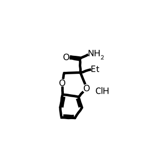 CCC1(C(N)=O)COc2ccccc2O1.Cl